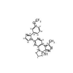 CC[C@@]12CCCN1c1nc(-n3ccnc3-c3cccc(OC(F)(F)F)c3)ncc1-n1c(C)nnc12